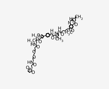 C=C1C[C@H]2C=Nc3cc(OCCCC(=O)Nc4cn(C)c(C(=O)Nc5ccc(-c6cc(C(=O)OC(C)CNC(=O)CCOCCOCCNC(=O)CCN7C(=O)C=CC7=O)n(C)c6)cc5)n4)c(OC)cc3C(=O)N2C1